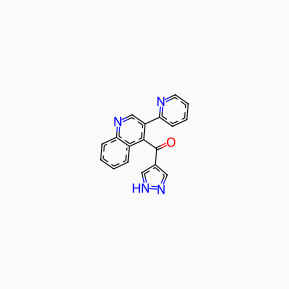 O=C(c1cn[nH]c1)c1c(-c2ccccn2)cnc2ccccc12